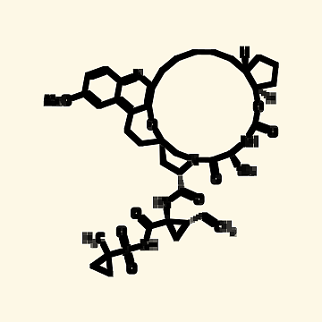 C=C[C@@H]1C[C@]1(NC(=O)[C@@H]1C[C@]23CCc4c(c(nc5ccc(OC)cc45)CCCCC[C@@H]4CCC[C@H]4OC(=O)N[C@@H](C(C)(C)C)C(=O)N1C2)O3)C(=O)NS(=O)(=O)C1(C)CC1